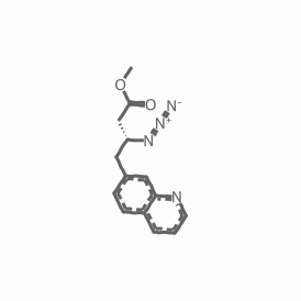 COC(=O)C[C@@H](Cc1ccc2cccnc2c1)N=[N+]=[N-]